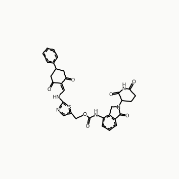 O=C1CCC(N2Cc3c(NC(=O)OCc4cnc(NC=C5C(=O)CC(c6ccccc6)CC5=O)s4)cccc3C2=O)C(=O)N1